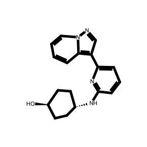 O[C@H]1CC[C@H](Nc2cccc(-c3cnn4ccccc34)n2)CC1